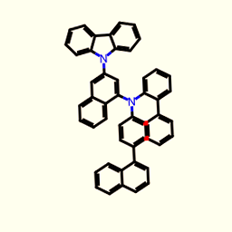 c1ccc(-c2ccccc2N(c2ccc(-c3cccc4ccccc34)cc2)c2cc(-n3c4ccccc4c4ccccc43)cc3ccccc23)cc1